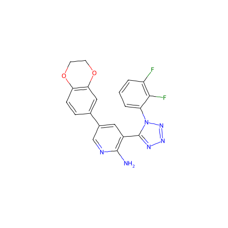 Nc1ncc(-c2ccc3c(c2)OCCO3)cc1-c1nnnn1-c1cccc(F)c1F